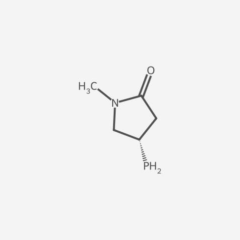 CN1C[C@@H](P)CC1=O